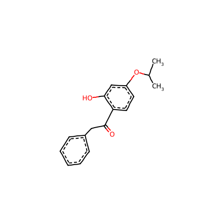 CC(C)Oc1ccc(C(=O)Cc2ccccc2)c(O)c1